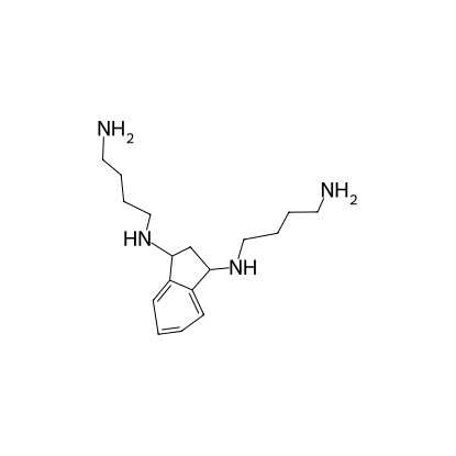 NCCCCNC1CC(NCCCCN)c2ccccc21